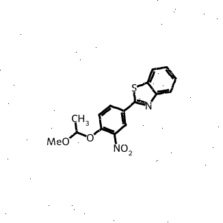 COC(C)Oc1ccc(-c2nc3ccccc3s2)cc1[N+](=O)[O-]